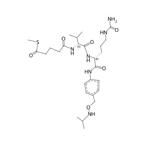 CSC(=O)CCCC(=O)N[C@@H](C(=O)N[C@H](CCCNC(N)=O)C(=O)Nc1ccc(CONC(C)C)cc1)C(C)C